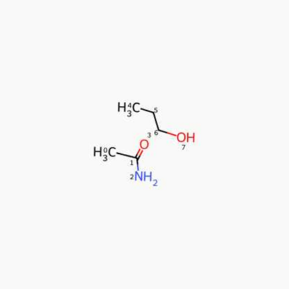 CC(N)=O.CCCO